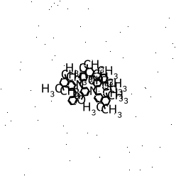 CC1(C)CCC(C)(C)c2cc(N(c3cc4c5c(c3)N(c3ccc6c(c3)C(C)(C)CCC6(C)C)c3cc6c(cc3B5c3ccccc3O4)C(C)(C)CCC6(C)C)c3ccc4c(c3)C(C)(C)CCC4(C)C)ccc21